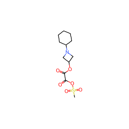 CS(=O)(=O)OC(=O)C(=O)OC1CN(C2CCCCC2)C1